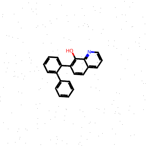 Oc1c(-c2ccccc2-c2ccccc2)ccc2cccnc12